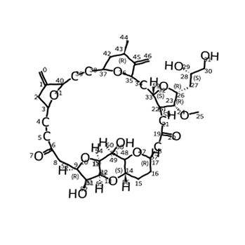 C=C1CC2CCC(=O)C[C@H]3O[C@@H]4[C@@H](O[C@H]5CC[C@H](CC(=O)C[C@@H]6[C@@H](OC)[C@@H](C[C@H](O)CO)O[C@H]6CC6OC(CCC1O2)C[C@@H](C)C6=C)OC5[C@@H]4O)[C@H]3O